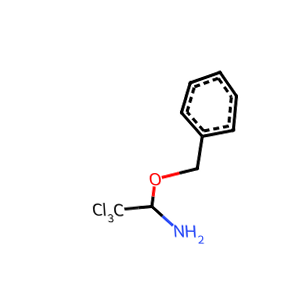 NC(OCc1ccccc1)C(Cl)(Cl)Cl